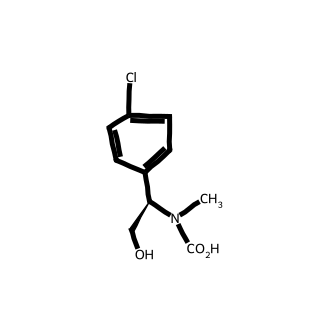 CN(C(=O)O)[C@@H](CO)c1ccc(Cl)cc1